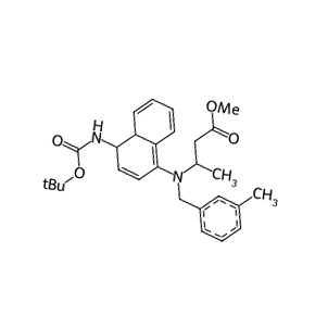 COC(=O)CC(C)N(Cc1cccc(C)c1)C1=C2C=CC=CC2C(NC(=O)OC(C)(C)C)C=C1